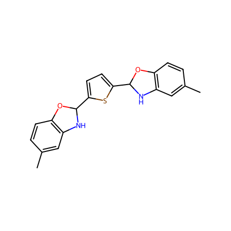 Cc1ccc2c(c1)NC(c1ccc(C3Nc4cc(C)ccc4O3)s1)O2